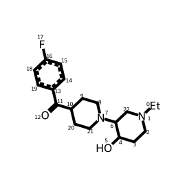 CCN1CCC(O)C(N2CCC(C(=O)c3ccc(F)cc3)CC2)C1